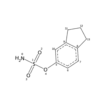 NS(=O)(=O)Oc1ccc2c(c1)CCC2